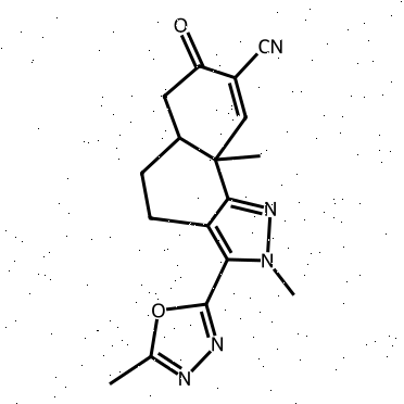 Cc1nnc(-c2c3c(nn2C)C2(C)C=C(C#N)C(=O)CC2CC3)o1